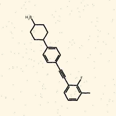 BC1CCC(c2ccc(C#Cc3cccc(C)c3F)cc2)CC1